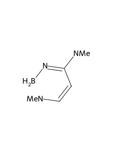 B/N=C(\C=C/NC)NC